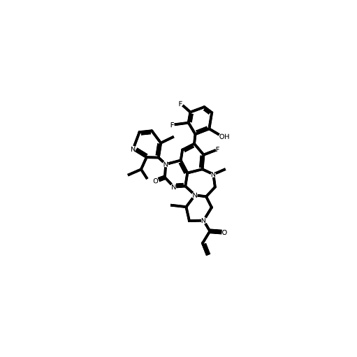 C=CC(=O)N1CC(C)N2c3nc(=O)n(-c4c(C)ccnc4C(C)C)c4cc(-c5c(O)ccc(F)c5F)c(F)c(c34)N(C)CC2C1